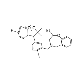 CCC1CN(Cc2cc(C(c3ccc(F)cc3C)C(C)(C)C(=O)O)ccc2C)Cc2ccccc2O1